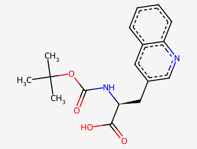 CC(C)(C)OC(=O)N[C@@H](Cc1cnc2ccccc2c1)C(=O)O